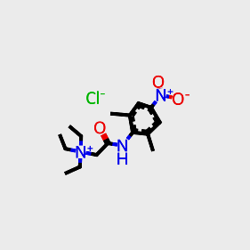 CC[N+](CC)(CC)CC(=O)Nc1c(C)cc([N+](=O)[O-])cc1C.[Cl-]